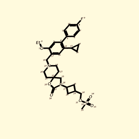 CCOc1cc(-c2ccc(F)cc2)c(C2CC2)cc1CN1CCC2(CC1)CN(C1CC(COS(C)(=O)=O)C1)C(=O)O2